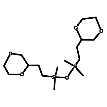 C[Si](C)(CCC1COCCO1)O[Si](C)(C)CCC1COCCO1